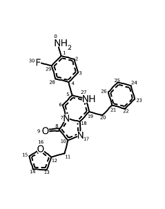 Nc1ccc(-c2cn3c(=O)c(Cc4ccco4)nc-3c(Cc3ccccc3)[nH]2)cc1F